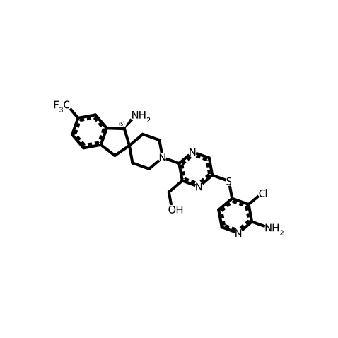 Nc1nccc(Sc2cnc(N3CCC4(CC3)Cc3ccc(C(F)(F)F)cc3[C@H]4N)c(CO)n2)c1Cl